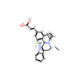 CC[C@@H]1Cc2c([nH]c3ccccc23)[C@H]2c3c(F)cc(/C=C/C(=O)O)cc3C3C4CC3(C4)N12